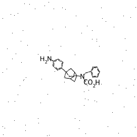 Nc1ccc(C23CC4CC(C2)C(N(Cc2ccccc2)C(=O)O)(C4)C3)cc1